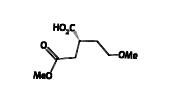 COCC[C@H](CC(=O)OC)C(=O)O